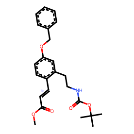 COC(=O)/C=C/c1ccc(OCc2ccccc2)cc1CCNC(=O)OC(C)(C)C